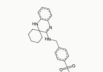 CS(=O)(=O)c1ccc(CNC2=Nc3ccccc3NC23CCCCC3)cc1